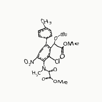 COC(=O)C(=O)N(C)c1c([N+](=O)[O-])cc(-c2ccc(C)cc2)c(C(OC(C)(C)C)C(=O)OC)c1Cl